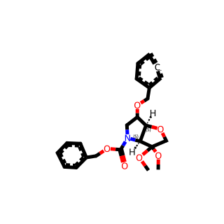 COC1(OC)CO[C@@H]2C(OCc3ccccc3)CN(C(=O)OCc3ccccc3)[C@@H]21